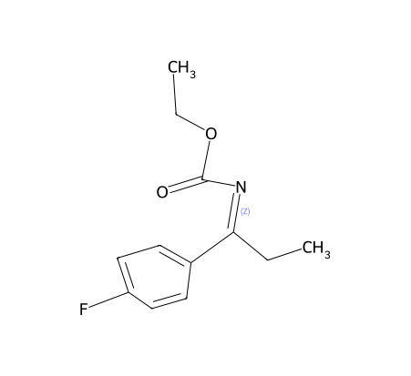 CCOC(=O)/N=C(/CC)c1ccc(F)cc1